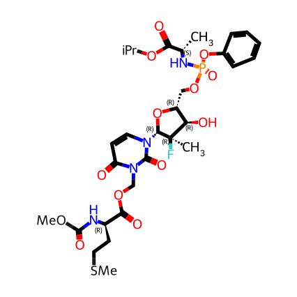 COC(=O)N[C@H](CCSC)C(=O)OCn1c(=O)ccn([C@@H]2O[C@H](COP(=O)(N[C@@H](C)C(=O)OC(C)C)Oc3ccccc3)[C@@H](O)[C@@]2(C)F)c1=O